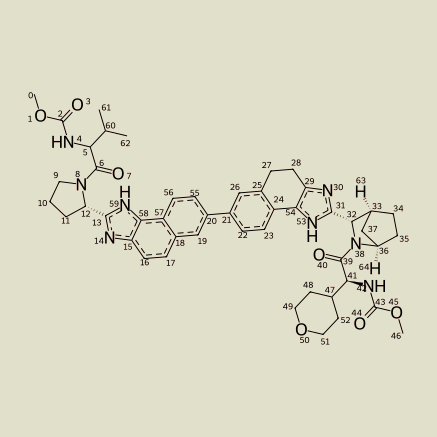 COC(=O)NC(C(=O)N1CCC[C@H]1c1nc2ccc3cc(-c4ccc5c(c4)CCc4nc([C@@H]6[C@H]7CC[C@H](C7)N6C(=O)[C@@H](NC(=O)OC)C6CCOCC6)[nH]c4-5)ccc3c2[nH]1)C(C)C